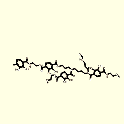 COCCNC(=O)c1ccc(C(=O)N(CCCCN(CCCNC(=O)c2ccc(C(=O)NCCNC(=O)c3ccc(C)c(O)c3O)c(O)c2O)C(=O)c2ccc(C(=O)NCCOC)c(O)c2O)CCCNC=O)c(O)c1O